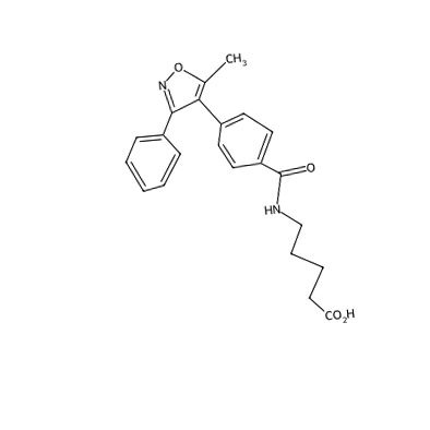 Cc1onc(-c2ccccc2)c1-c1ccc(C(=O)NCCCCC(=O)O)cc1